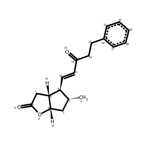 C[C@@H]1C[C@@H]2OC(=O)C[C@@H]2[C@H]1/C=C/C(=O)CCc1ccccc1